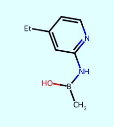 CCc1ccnc(NB(C)O)c1